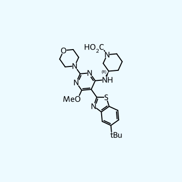 COc1nc(N2CCOCC2)nc(N[C@@H]2CCCN(C(=O)O)C2)c1-c1nc2cc(C(C)(C)C)ccc2s1